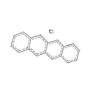 [C].c1ccc2cc3cc4ccccc4cc3cc2c1